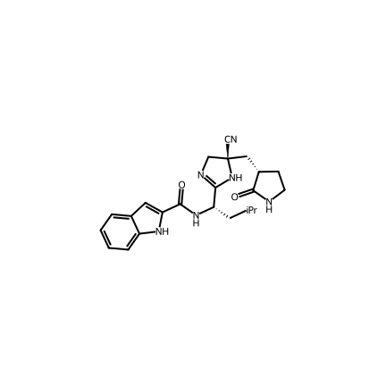 CC(C)C[C@H](NC(=O)c1cc2ccccc2[nH]1)C1=NC[C@](C#N)(C[C@@H]2CCNC2=O)N1